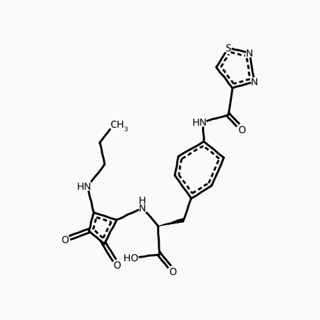 CCCNc1c(N[C@@H](Cc2ccc(NC(=O)c3csnn3)cc2)C(=O)O)c(=O)c1=O